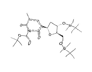 Cc1cn([C@H]2C[C@H](O[Si](C)(C)C(C)(C)C)[C@@H](CO[Si](C)(C)C(C)(C)C)O2)c(=O)n(C(=O)OC(C)(C)C)c1=O